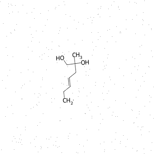 [CH2]CC=CCC(C)(O)CO